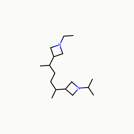 CCN1CC(C(C)CCC(C)C2CN(C(C)C)C2)C1